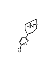 Clc1ccc(C2CCC3CC(CC2)N3)cn1